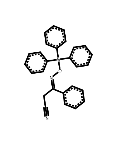 N#CCC(=NO[Si](c1ccccc1)(c1ccccc1)c1ccccc1)c1ccccc1